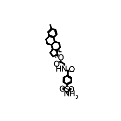 Cc1ccc2c(c1)CCC1C2CC[C@@]2(C)C1CC[C@@H]2OC(=O)CNC(=O)c1ccc(S(N)(=O)=O)cc1